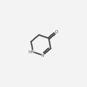 O=C1[C]=NNCC1